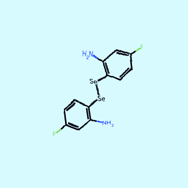 Nc1cc(F)ccc1[Se][Se]c1ccc(F)cc1N